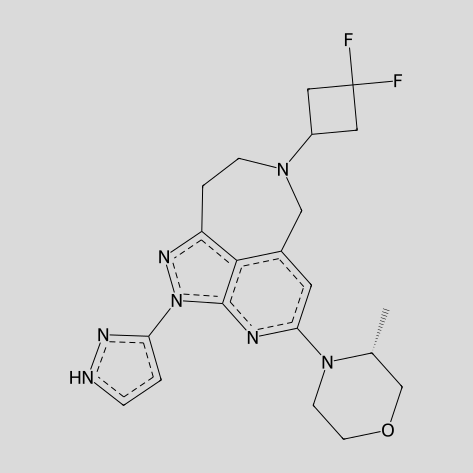 C[C@@H]1COCCN1c1cc2c3c(nn(-c4cc[nH]n4)c3n1)CCN(C1CC(F)(F)C1)C2